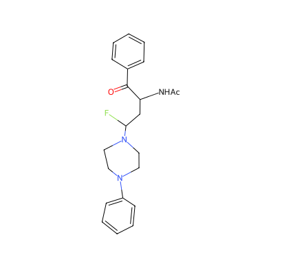 CC(=O)NC(CC(F)N1CCN(c2ccccc2)CC1)C(=O)c1ccccc1